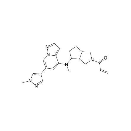 C=CC(=O)N1CC2CCC(N(C)c3cc(-c4cnn(C)c4)cn4nccc34)C2C1